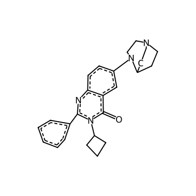 O=c1c2cc(N3CCN4CCC3CC4)ccc2nc(-c2ccccc2)n1C1CCC1